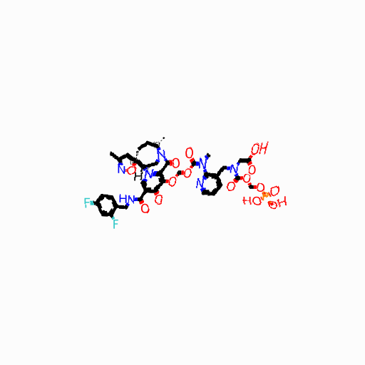 CC1=NO[C@@]2(CC[C@H](C)N3C[C@H]2n2cc(C(=O)NCc4ccc(F)cc4F)c(=O)c(OCOC(=O)N(C)c4ncccc4CN(CC(=O)O)C(=O)OCOP(=O)(O)O)c2C3=O)C1